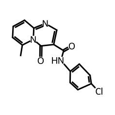 Cc1cccc2ncc(C(=O)Nc3ccc(Cl)cc3)c(=O)n12